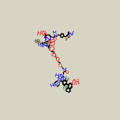 Cc1ncsc1-c1ccc(CCNC(=O)C2CC(O)CN2C(=O)[C@@H](NC(=O)COCCOCCOCCOCCN(C)C(=O)CCNc2nc(N3CCNCC3)c3cc(Cl)c(-c4cc(O)cc5ccccc45)c(F)c3n2)C(C)(C)C)cc1